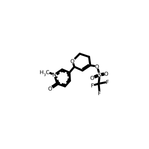 Cn1cc(C2C=C(OS(=O)(=O)C(F)(F)F)CCO2)ccc1=O